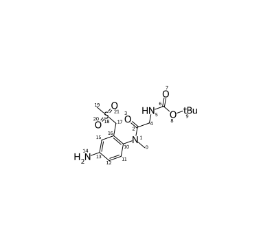 CN(C(=O)CNC(=O)OC(C)(C)C)c1ccc(N)cc1CS(C)(=O)=O